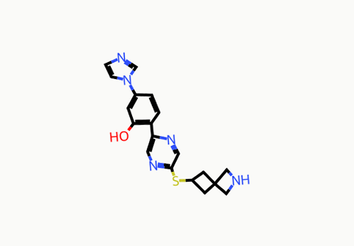 Oc1cc(-n2ccnc2)ccc1-c1cnc(SC2CC3(CNC3)C2)cn1